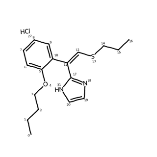 CCCCOc1ccccc1C(=CSCCC)c1ncc[nH]1.Cl